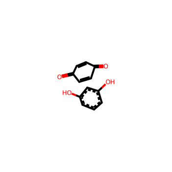 O=C1C=CC(=O)C=C1.Oc1cccc(O)c1